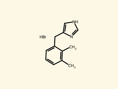 Br.Cc1cccc(Cc2c[nH]cn2)c1C